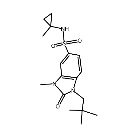 Cn1c(=O)n(CC(C)(C)C)c2ccc(S(=O)(=O)NC3(C)CC3)cc21